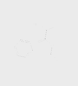 CCOC(=O)C(C)C.c1ccccc1